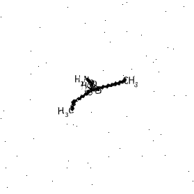 CCCC/C=C\CCCCCCCC(=O)O[C@H](COC(=O)CCCCCCCCCCCCCC)COP(=O)(O)OCCN